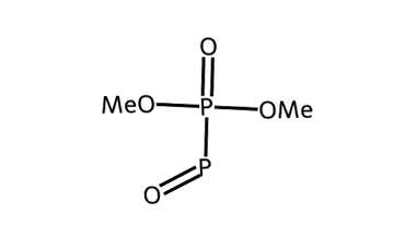 COP(=O)(OC)P=O